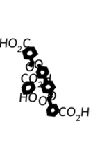 O=C(O)c1ccc(C(=O)Oc2ccc(-c3ccc(OC(=O)c4cccc(C(=O)O)c4)cc3)cc2)cc1.O=C(O)c1ccc(O)cc1